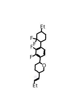 CC/C=C/C1CCC(c2ccc(C3CCC(CC)CC3(F)F)c(F)c2F)OC1